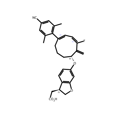 C=C1/C(F)=C\C=C(\c2c(C)cc(C#N)cc2C)CCC[C@H]1Oc1ccc2c(c1)OC[C@H]2CC(=O)O